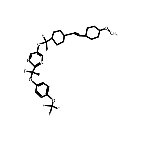 COC1CCC(/C=C/C2CCC(C(F)(F)Oc3cnc(C(F)(F)Oc4ccc(OC(F)(F)F)cc4)nc3)CC2)CC1